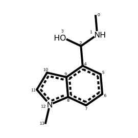 CNC(O)c1cccc2c1ccn2C